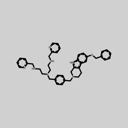 c1ccc(COc2ccc3[nH]c4c(c3c2)CCN(Cc2ccc(CN(CCNCc3ccccn3)CCNCc3ccccn3)cc2)C4)cc1